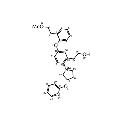 COCCc1ccccc1Oc1ccc(N2CC[C@H](Oc3ccccn3)C2)c(CCO)c1